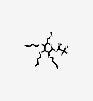 CCCCOC1C(COC)OC(OC(=N)C(Cl)(Cl)Cl)C(OCCCC)C1OCCCC